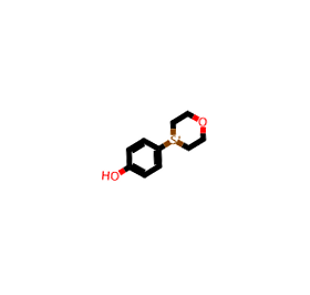 Oc1ccc([S+]2CCOCC2)cc1